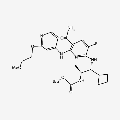 COCCOc1cc(Nc2nc(N[C@H](C3CCC3)[C@H](C)NC(=O)OC(C)(C)C)c(F)cc2C(N)=O)ccn1